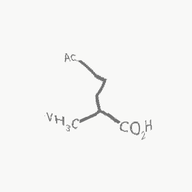 CC(=O)CC(C)C(=O)O.[V]